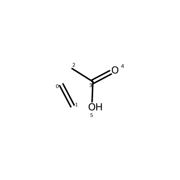 C=C.CC(=O)O